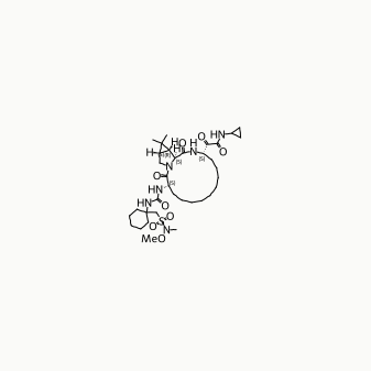 CON(C)S(=O)(=O)CC1(NC(=O)N[C@H]2CCCCCCCCC[C@@H](C(=O)C(=O)NC3CC3)NC(=O)[C@@H]3[C@@H]4[C@H](CN3C2=O)C4(C)C)CCCCC1